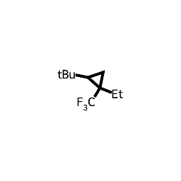 CCC1(C(F)(F)F)CC1C(C)(C)C